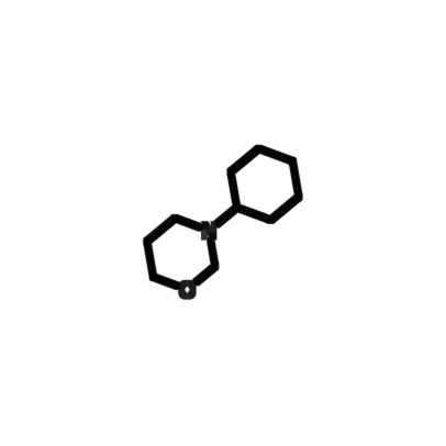 C1CCC(N2CCCOC2)CC1